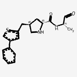 C[C@@H](C=O)NC(=O)[C@H]1C[C@H](Cc2cc(-c3ccccc3)cs2)CN1